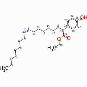 CCCCCCCC/C=C\CCCCCCC(C(=O)OCC)c1ccc(O)cc1